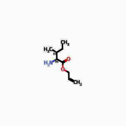 C=CCOC(=O)[C@@H](N)[C@@H](C)CC